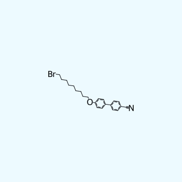 N#Cc1ccc(-c2ccc(OCCCCCCCCCBr)cc2)cc1